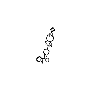 O=C(c1ccccn1)N1CCC(c2nc3c(s2)CCN(C2=CC=C2)CC3)CC1